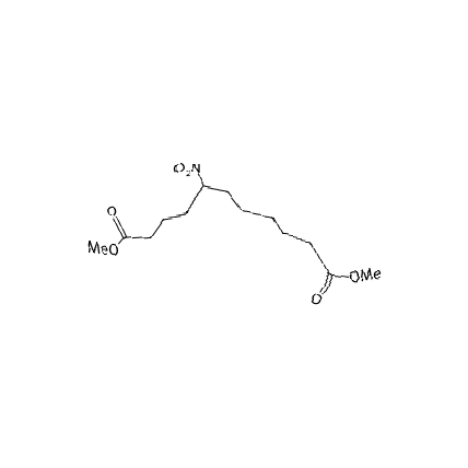 COC(=O)CCCCCC(CCCC(=O)OC)[N+](=O)[O-]